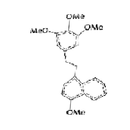 COc1cc(CCc2ccc(OC)c3ccccc23)cc(OC)c1OC